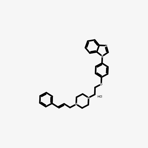 C(=Cc1ccccc1)CN1CCN(CCOc2ccc(-n3cnc4ccccc43)cc2)CC1.Cl